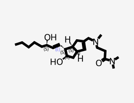 CCCCC[C@H](O)/C=C/[C@@H]1[C@H]2CC(CN(C)CCC(=O)N(C)C)=C[C@H]2C[C@H]1O